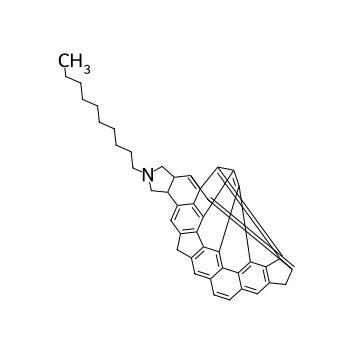 CCCCCCCCCCN1CC2c3cc4c5c6c(cc7ccc8cc9c%10c%11c(cc(c%12c3c5c(c%12%11)c3c6c7c8c%103)C2C1)C9)C4